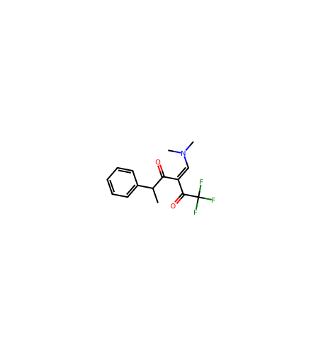 CC(C(=O)C(=CN(C)C)C(=O)C(F)(F)F)c1ccccc1